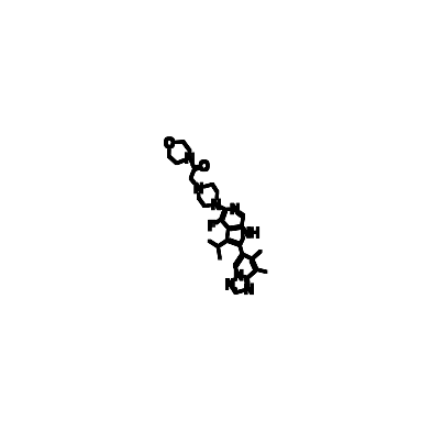 Cc1c(-c2[nH]c3cnc(N4CCN(CC(=O)N5CCOCC5)CC4)c(F)c3c2C(C)C)cn2ncnc2c1C